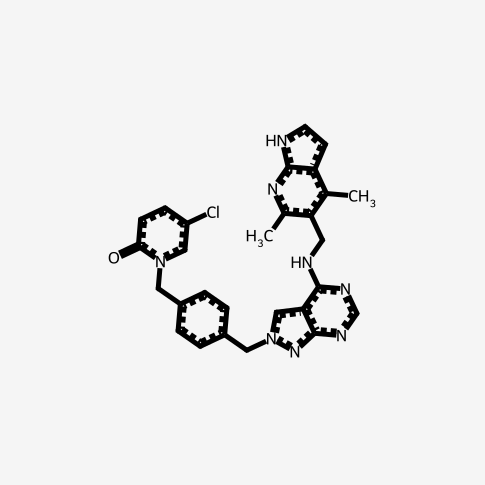 Cc1nc2[nH]ccc2c(C)c1CNc1ncnc2nn(Cc3ccc(Cn4cc(Cl)ccc4=O)cc3)cc12